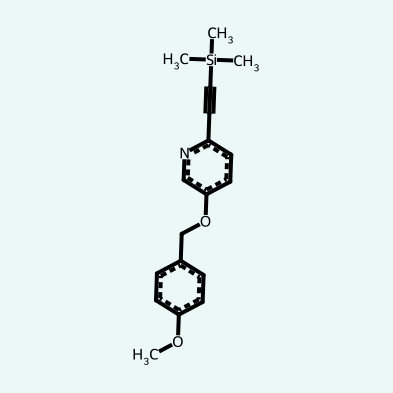 COc1ccc(COc2ccc(C#C[Si](C)(C)C)nc2)cc1